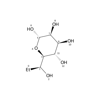 CC[C@H](O)[C@H]1O[C@H](O)[C@@H](O)[C@@H](O)[C@@H]1O